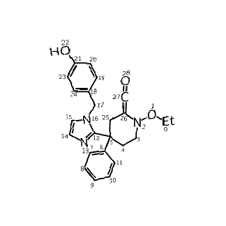 CCON1CCC(c2ccccc2)(c2nccn2Cc2ccc(O)cc2)CC1=C=O